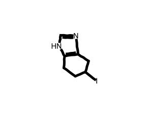 IC1CCc2[nH]cnc2C1